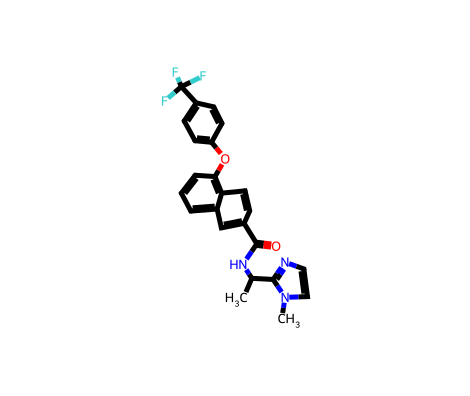 CC(NC(=O)c1ccc2c(Oc3ccc(C(F)(F)F)cc3)cccc2c1)c1nccn1C